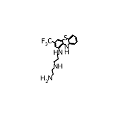 NCCNCCCNc1cc(C(F)(F)F)cc2c1Nc1ccccc1S2